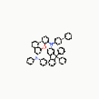 c1ccc(-c2ccc(N(c3ccc4c(c3)C(c3ccccc3)(c3ccccc3)c3ccccc3-4)c3cccc4c3Oc3cc(N(c5ccccc5)c5ccccc5)cc5cccc-4c35)cc2)cc1